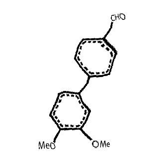 COc1ccc(-c2ccc(C=O)cc2)cc1OC